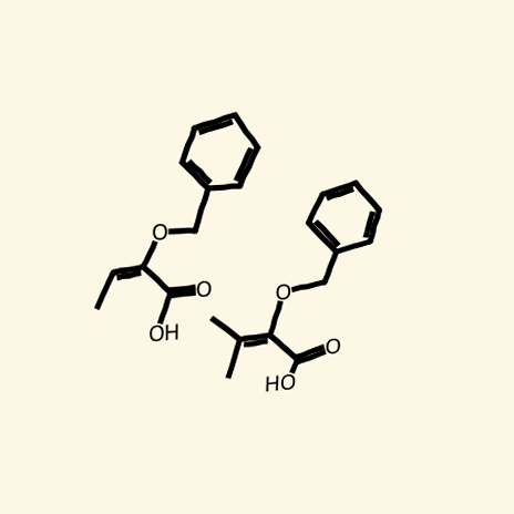 CC(C)=C(OCc1ccccc1)C(=O)O.CC=C(OCc1ccccc1)C(=O)O